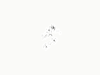 Cn1nnnc1NC(=O)c1ccc(C(F)(F)F)nc1COCC1COC(=O)N1Cc1ccc(OC(F)(F)F)cc1